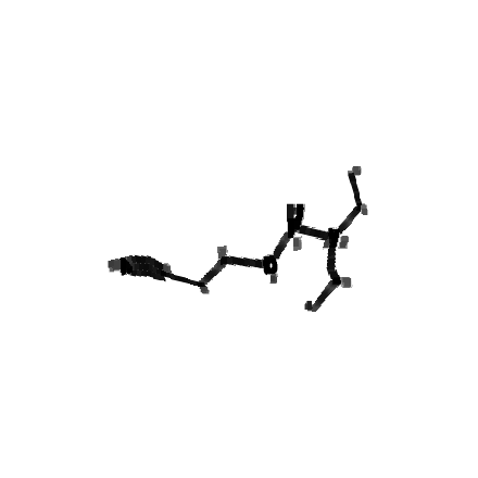 CCN(CC)POCCC#N